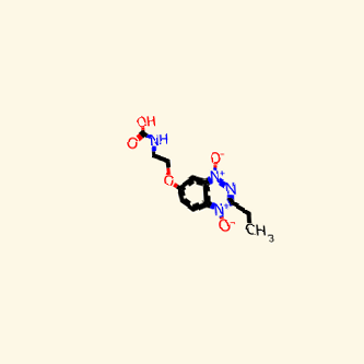 CCc1n[n+]([O-])c2cc(OCCNC(=O)O)ccc2[n+]1[O-]